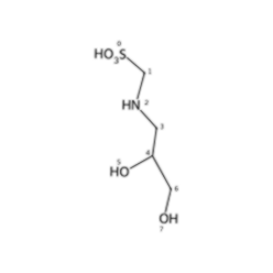 O=S(=O)(O)CNCC(O)CO